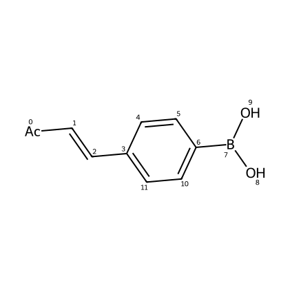 CC(=O)/C=C/c1ccc(B(O)O)cc1